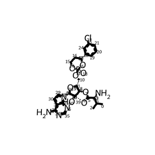 CC(C)[C@H](N)C(=O)O[C@@H]1[C@@H](COP2(=O)OCC[C@H](c3cccc(Cl)c3)O2)O[C@@H](n2ccc3c(N)ncnc32)[C@]1(C)O